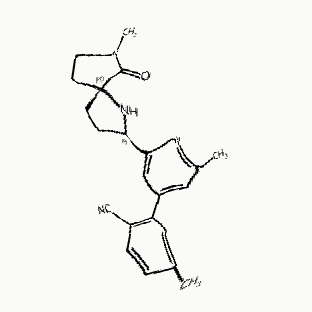 Cc1ccc(C#N)c(-c2cc(C)nc([C@H]3CC[C@]4(CCN(C)C4=O)N3)c2)c1